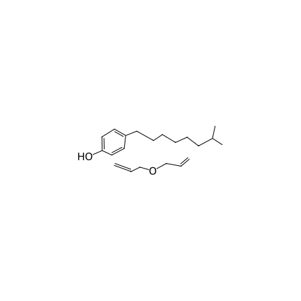 C=CCOCC=C.CC(C)CCCCCCc1ccc(O)cc1